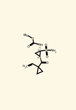 C=CC1(C(=O)[C@H]2C[C@@]2(NC(=O)OC(C)(C)C)S(N)(=O)=O)CC1